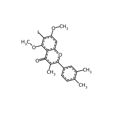 COc1cc2oc(-c3ccc(C)c(C)c3)c(C)c(=O)c2c(OC)c1I